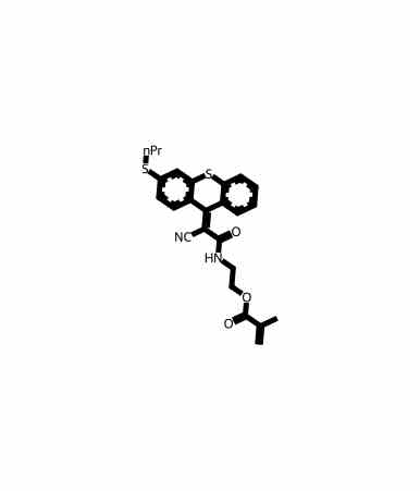 C=C(C)C(=O)OCCNC(=O)C(C#N)=C1c2ccccc2Sc2cc(SCCC)ccc21